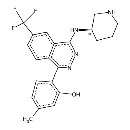 Cc1ccc(-c2nnc(N[C@@H]3CCCNC3)c3cc(C(F)(F)F)ccc23)c(O)c1